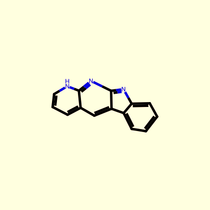 c1c[nH]c2nc3nc4ccccc4c3cc2c1